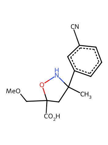 COCC1(C(=O)O)CC(C)(c2cccc(C#N)c2)NO1